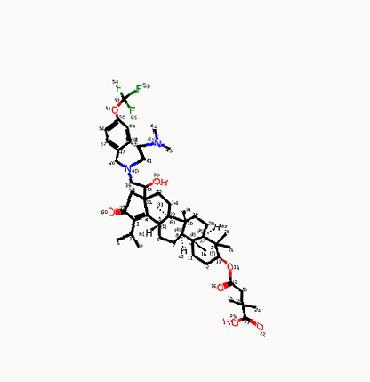 CC(C)C1=C2[C@H]3CC[C@@H]4[C@@]5(C)CC[C@H](OC(=O)CC(C)(C)C(=O)O)C(C)(C)[C@@H]5CC[C@@]4(C)[C@]3(C)CCC2(C(O)CN(CCN(C)C)Cc2ccc(OC(F)(F)F)cc2)CC1=O